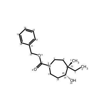 CC[C@@]1(C)CCN(C(=O)OCc2ccccc2)CC[C@H]1O